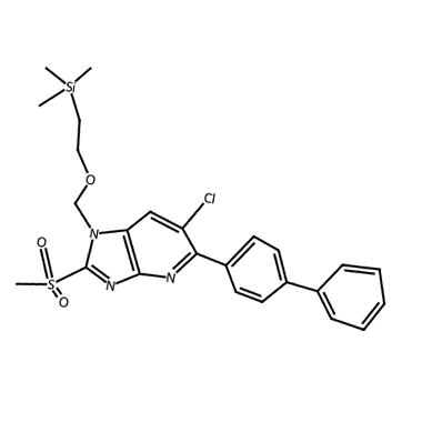 C[Si](C)(C)CCOCn1c(S(C)(=O)=O)nc2nc(-c3ccc(-c4ccccc4)cc3)c(Cl)cc21